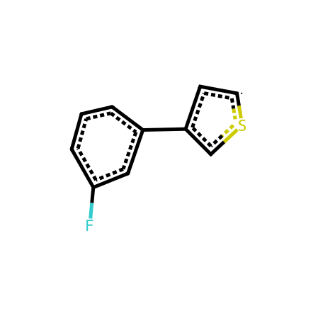 Fc1cccc(-c2c[c]sc2)c1